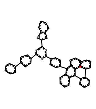 c1ccc(-c2ccc(-c3nc(-c4ccc(-c5c6ccccc6c(-c6ccccc6-c6ccccc6)c6ccccc56)cc4)nc(-c4cc5ccccc5s4)n3)cc2)cc1